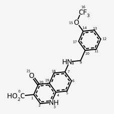 O=C(O)c1c[nH]c2ccc(NCc3cccc(OC(F)(F)F)c3)cc2c1=O